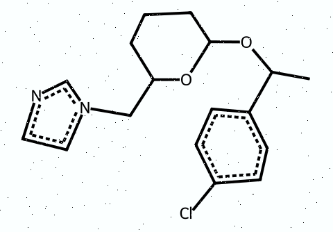 CC(OC1CCCC(Cn2ccnc2)O1)c1ccc(Cl)cc1